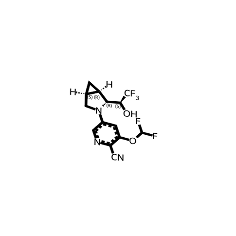 N#Cc1ncc(N2C[C@H]3C[C@H]3[C@@H]2[C@H](O)C(F)(F)F)cc1OC(F)F